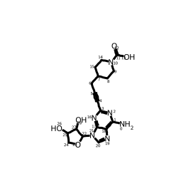 Nc1nc(C#CCC2CCN(C(=O)O)CC2)nc2c1ncn2C1OCC(O)C1O